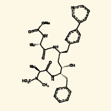 COC(=O)N[C@H](C(=O)N[C@@H](Cc1ccc(-c2cccnc2)cc1)C[C@H](O)[C@H](Cc1ccccc1)NC(=O)[C@@H](N(C)C(=O)O)C(C)(C)C)C(C)(C)C